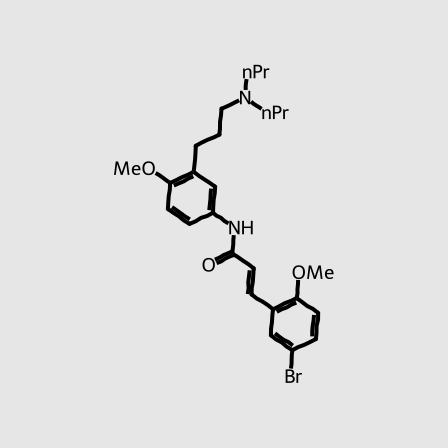 CCCN(CCC)CCCc1cc(NC(=O)C=Cc2cc(Br)ccc2OC)ccc1OC